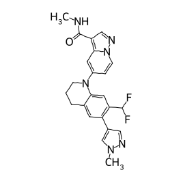 CNC(=O)c1cnn2ccc(N3CCCc4cc(-c5cnn(C)c5)c(C(F)F)cc43)cc12